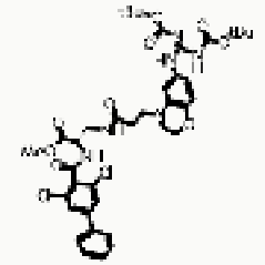 COC(=O)[C@H](CNC(=O)CCN1CCOc2ccc(N/C(=N\C(=O)OC(C)(C)C)NC(=O)OC(C)(C)C)cc21)NC(=O)c1c(Cl)cc(-c2ccccc2)cc1Cl